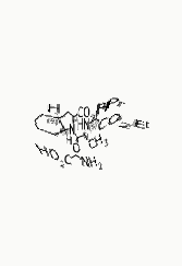 CCC[C@H](N[C@@H](C)C(=O)N1[C@H](C(=O)O)C[C@@H]2CCCC[C@@H]21)C(=O)OCC.NCC(=O)O